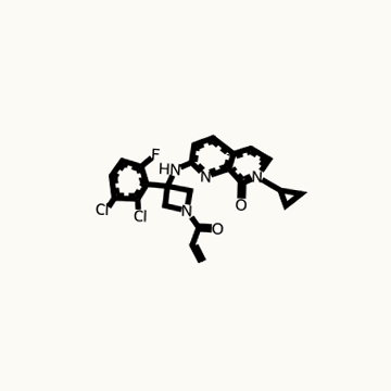 C=CC(=O)N1CC(Nc2ccc3ccn(C4CC4)c(=O)c3n2)(c2c(F)ccc(Cl)c2Cl)C1